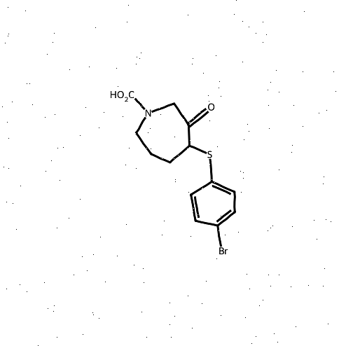 O=C1CN(C(=O)O)CCCC1Sc1ccc(Br)cc1